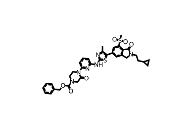 Cc1nc(Nc2cccc(N3CCN(C(=O)OCc4ccccc4)CC3=O)n2)sc1-c1cc2c(c(S(C)(=O)=O)c1)C(=O)N(CCC1CC1)C2